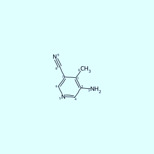 Cc1c(N)cncc1C#N